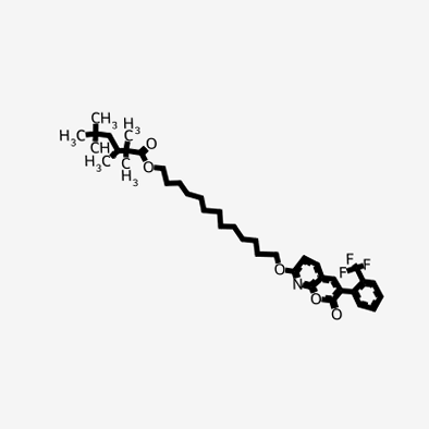 CC(CC(C)(C)C)C(C)(C)C(=O)OCCCCCCCCCCCCCOc1ccc2cc(-c3ccccc3C(F)(F)F)c(=O)oc2n1